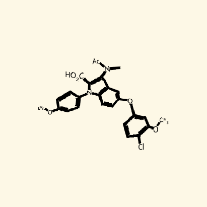 CC(=O)N(C)c1c(C(=O)O)n(-c2ccc(OC(C)C)cc2)c2ccc(Oc3ccc(Cl)c(OC(F)(F)F)c3)cc12